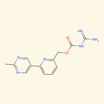 Cc1ncc(-c2cccc(COC(=O)NC(=N)N)n2)cn1